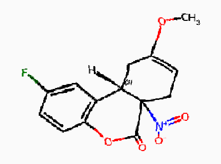 COC1=CCC2([N+](=O)[O-])C(=O)Oc3ccc(F)cc3[C@@H]2C1